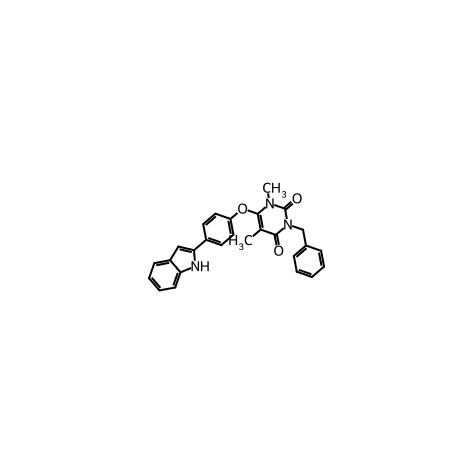 Cc1c(Oc2ccc(-c3cc4ccccc4[nH]3)cc2)n(C)c(=O)n(Cc2ccccc2)c1=O